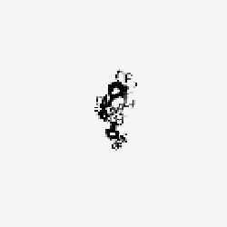 CS(=O)(=O)c1cccc(C(=O)N2C[C@@H](F)C[C@@H]2C(=O)NC(c2ccc(C(F)(F)F)cc2F)C2(F)COC2)c1